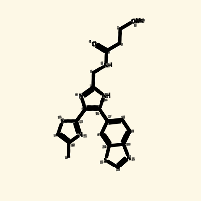 COCCC(=O)NCc1nc(-c2nc(C)cs2)c(-c2ccc3ncsc3c2)[nH]1